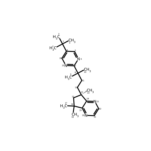 CC(C)(C)c1cnc(C(C)(C)CC[C@]2(C)CC(C)(C)c3nccnc32)nc1